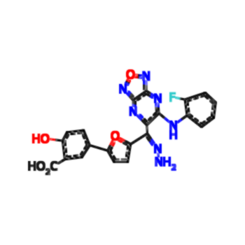 NN=C(c1ccc(-c2ccc(O)c(C(=O)O)c2)o1)c1nc2nonc2nc1Nc1ccccc1F